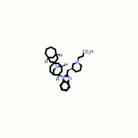 O=C(O)CCN1CCC[C@@H](Cc2nc3ccccc3n2[C@H]2C[C@H]3CCCCC2CN3[C@@H]2C[C@@H]3CCCC[C@@H](C3)C2)C1